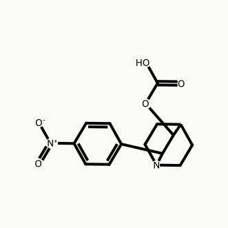 O=C(O)OC1C2CCN(CC2)C1c1ccc([N+](=O)[O-])cc1